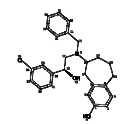 Oc1ccc2c(c1)CC(N(Cc1ccccc1)C[C@@H](O)c1cccc(Cl)c1)CCC2